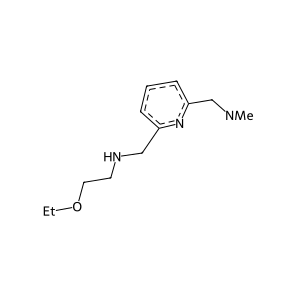 CCOCCNCc1cccc(CNC)n1